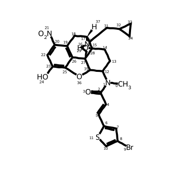 CN(C(=O)/C=C/c1cc(Br)cs1)C1CC[C@@]2(O)[C@H]3Cc4c([N+](=O)[O-])cc(O)c5c4[C@@]2(CCN3CC2CC2)C1O5